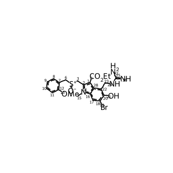 CCOC(=O)c1c(C[S+]([O-])Cc2ccccc2OC)n(C)c2cc(Br)c(O)c(CNC(=N)N)c12